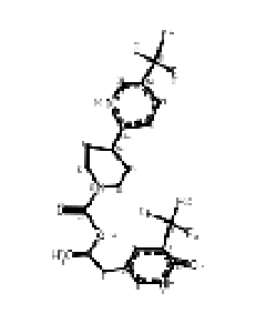 CC(Cc1c[nH]c(=O)c(C(F)(F)F)c1)OC(=O)N1CCC(c2ccc(C(F)(F)F)cn2)CC1